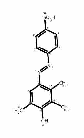 Cc1cc(N=Nc2ccc(S(=O)(=O)O)cc2)c(C)c(C)c1O